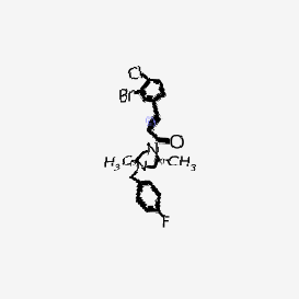 C[C@@H]1CN(Cc2ccc(F)cc2)[C@@H](C)CN1C(=O)/C=C/c1ccc(Cl)c(Br)c1